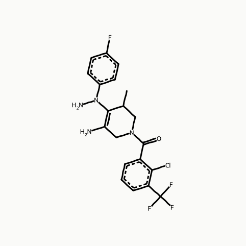 CC1CN(C(=O)c2cccc(C(F)(F)F)c2Cl)CC(N)=C1N(N)c1ccc(F)cc1